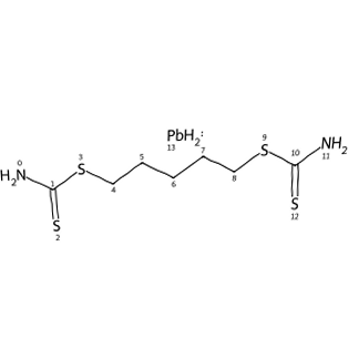 NC(=S)SCCCCCSC(N)=S.[PbH2]